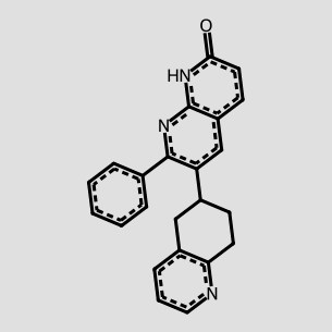 O=c1ccc2cc(C3CCc4ncccc4C3)c(-c3ccccc3)nc2[nH]1